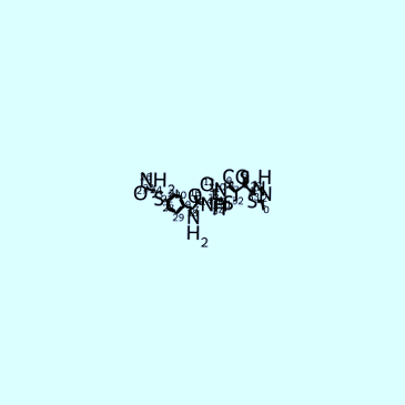 Cc1nnc(C(=S)C2=C(C(=O)O)N3C(=O)C(NC(=O)C(N)c4ccc(SCC(N)=O)cc4)[C@@H]3SC2)s1